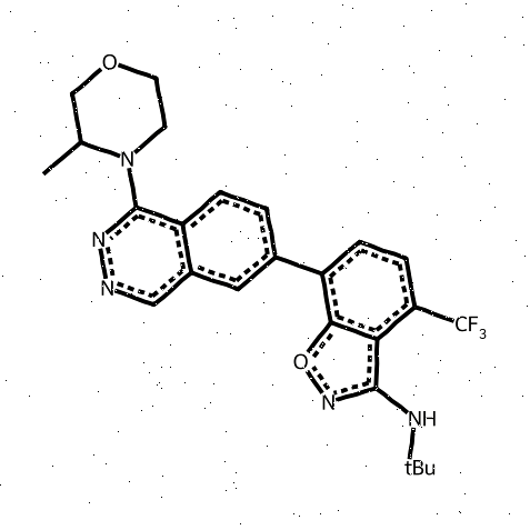 CC1COCCN1c1nncc2cc(-c3ccc(C(F)(F)F)c4c(NC(C)(C)C)noc34)ccc12